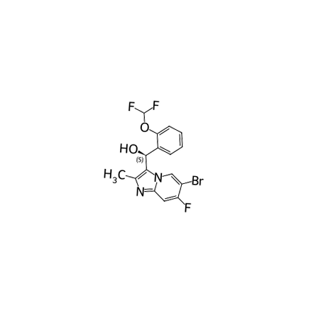 Cc1nc2cc(F)c(Br)cn2c1[C@@H](O)c1ccccc1OC(F)F